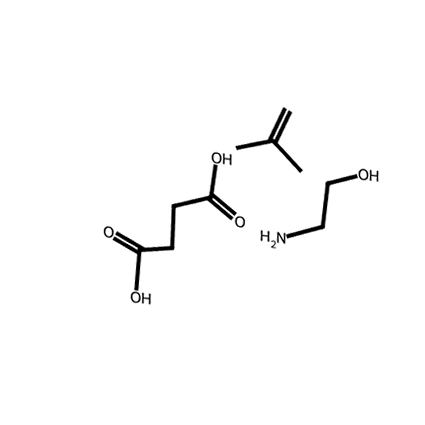 C=C(C)C.NCCO.O=C(O)CCC(=O)O